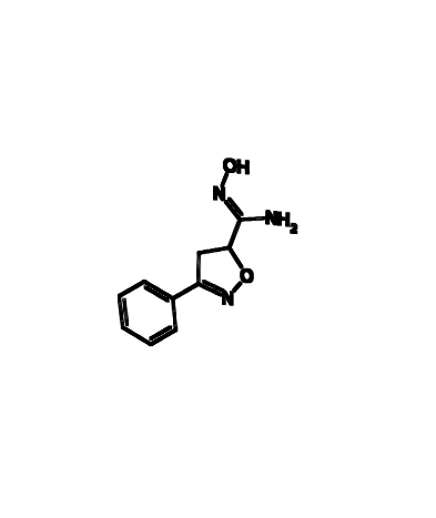 NC(=NO)C1CC(c2ccccc2)=NO1